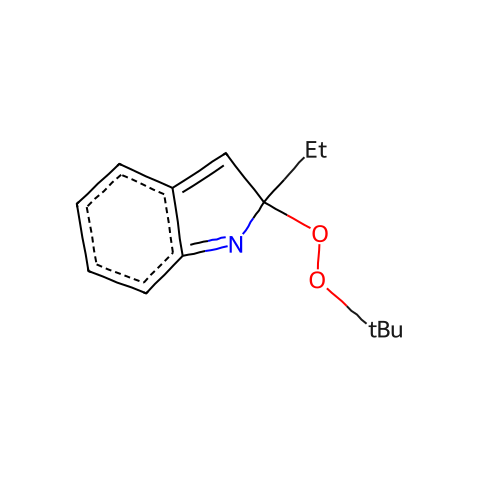 CCC1(OOC(C)(C)C)C=c2ccccc2=N1